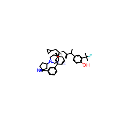 C=C/C=C(\C=C/CC1([C@H](CC(=C)C(C)c2ccc(O)c(C(C)(C)F)c2)CC2CC2)CCN(C2CCCC2)CC1)c1cccc(C#N)c1